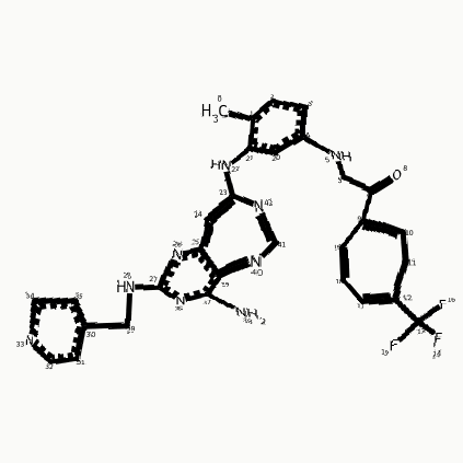 Cc1ccc(NCC(=O)C2=CCC(C(F)(F)F)=CC=C2)cc1NC1=C=c2nc(NCc3ccncc3)nc(N)c2=NC=N1